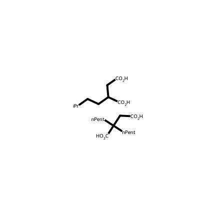 CC(C)CCC(CC(=O)O)C(=O)O.CCCCCC(CCCCC)(CC(=O)O)C(=O)O